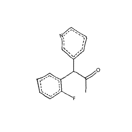 CC(=O)C(c1cccnc1)c1ccccc1F